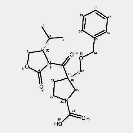 CC(C)[C@H]1COC(=O)N1C(=O)[C@]1(COCc2ccccc2)CCN(C(=O)O)C1